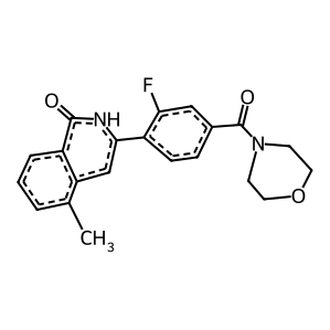 Cc1cccc2c(=O)[nH]c(-c3ccc(C(=O)N4CCOCC4)cc3F)cc12